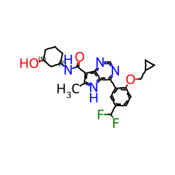 Cc1[nH]c2c(-c3cc(C(F)F)ccc3OCC3CC3)ncnc2c1C(=O)N[C@@H]1CCC[C@H](O)C1